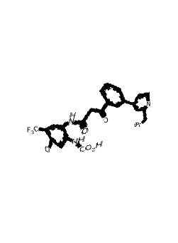 CC(C)Cc1cc(-c2cccc(C(=O)CC(=O)Nc3cc(C(F)(F)F)c(Cl)cc3NC(=O)O)c2)ccn1